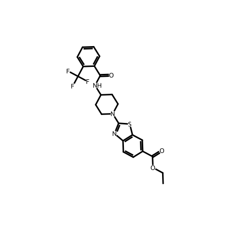 CCOC(=O)c1ccc2nc(N3CCC(NC(=O)c4ccccc4C(F)(F)F)CC3)sc2c1